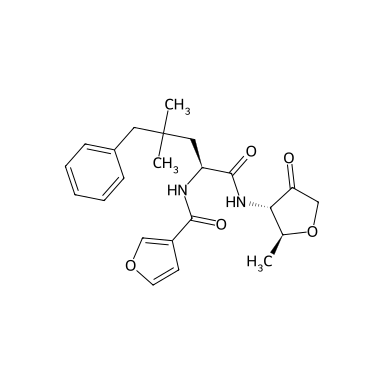 C[C@@H]1OCC(=O)[C@H]1NC(=O)[C@H](CC(C)(C)Cc1ccccc1)NC(=O)c1ccoc1